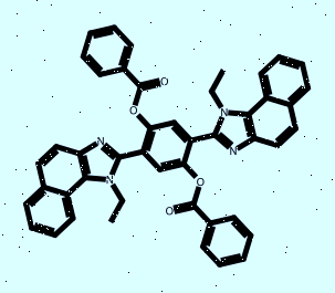 CCn1c(-c2cc(OC(=O)c3ccccc3)c(-c3nc4ccc5ccccc5c4n3CC)cc2OC(=O)c2ccccc2)nc2ccc3ccccc3c21